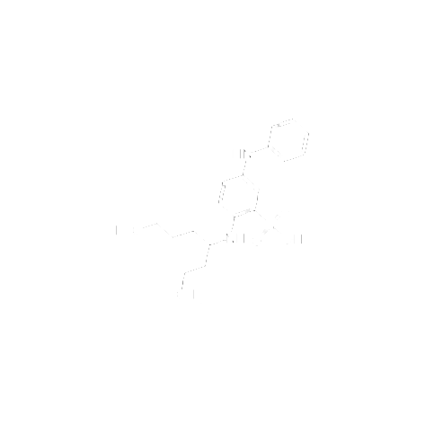 CCCCC(CCC)Nc1ccc(Nc2ccccc2)cc1S(=O)(=O)O